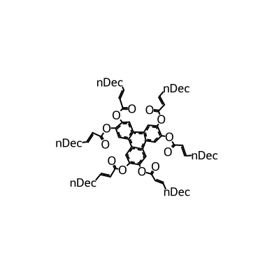 CCCCCCCCCCC=CC(=O)Oc1cc2c(cc1OC(=O)/C=C/CCCCCCCCCC)c1cc(OC(=O)/C=C/CCCCCCCCCC)c(OC(=O)/C=C/CCCCCCCCCC)cc1c1cc(OC(=O)/C=C/CCCCCCCCCC)c(OC(=O)/C=C/CCCCCCCCCC)cc21